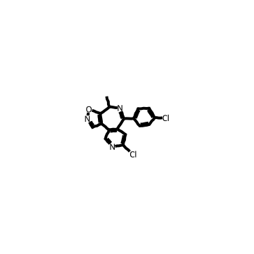 CC1N=C(c2ccc(Cl)cc2)c2cc(Cl)ncc2-c2cnoc21